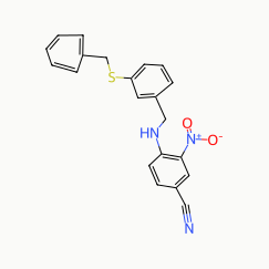 N#Cc1ccc(NCc2cccc(SCc3ccccc3)c2)c([N+](=O)[O-])c1